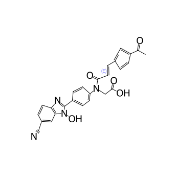 CC(=O)c1ccc(/C=C/C(=O)N(CC(=O)O)c2ccc(-c3nc4ccc(C#N)cc4n3O)cc2)cc1